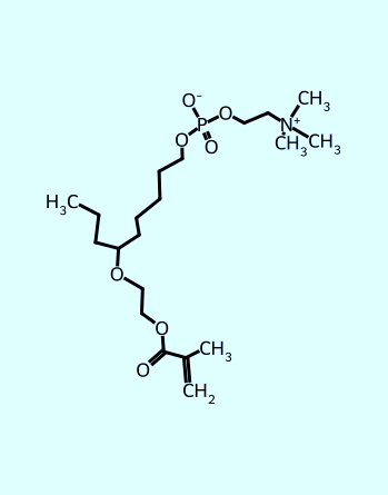 C=C(C)C(=O)OCCOC(CCC)CCCCCOP(=O)([O-])OCC[N+](C)(C)C